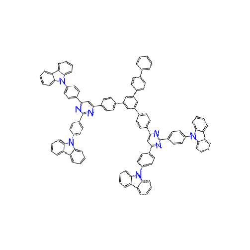 c1ccc(-c2ccc(-c3cc(-c4ccc(-c5cc(-c6ccc(-n7c8ccccc8c8ccccc87)cc6)nc(-c6ccc(-n7c8ccccc8c8ccccc87)cc6)n5)cc4)cc(-c4ccc(-c5cc(-c6ccc(-n7c8ccccc8c8ccccc87)cc6)nc(-c6ccc(-n7c8ccccc8c8ccccc87)cc6)n5)cc4)c3)cc2)cc1